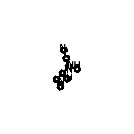 C1=C(c2ccc(-c3ccncc3)cc2)NC(c2ccccc2)NC1c1ccc(-c2cccc3c4ccccc4n(-c4ccccc4)c23)cc1